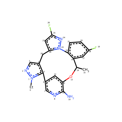 CCn1ncc2c1-c1cnc(N)c(c1)OC(C)c1cc(F)ccc1-n1nc(F)cc1C2